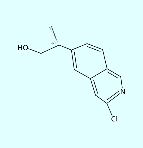 C[C@@H](CO)c1ccc2cnc(Cl)cc2c1